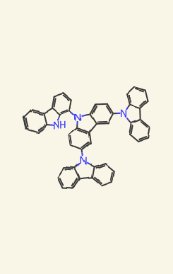 c1ccc2c(c1)[nH]c1c(-n3c4ccc(-n5c6ccccc6c6ccccc65)cc4c4cc(-n5c6ccccc6c6ccccc65)ccc43)cccc12